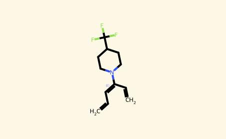 C=C/C=C(\C=C)N1CCC(C(F)(F)F)CC1